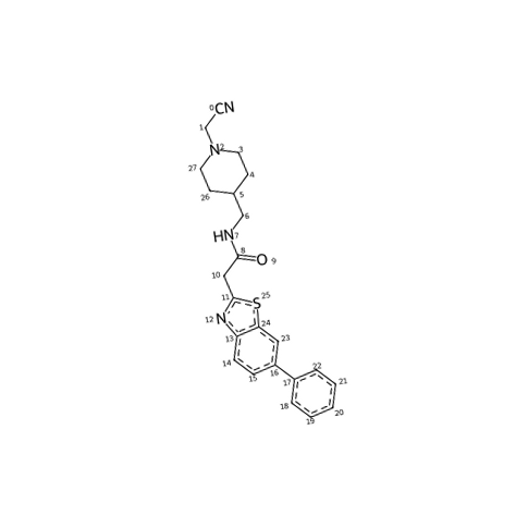 N#CCN1CCC(CNC(=O)Cc2nc3ccc(-c4ccccc4)cc3s2)CC1